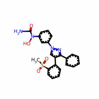 CS(=O)(=O)c1ccccc1-c1cn(-c2cccc(N(O)C(N)=O)c2)nc1-c1ccccc1